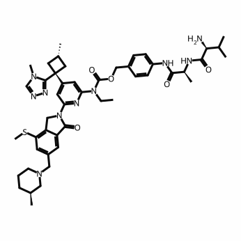 CCN(C(=O)OCc1ccc(NC(=O)[C@H](C)NC(=O)[C@@H](N)C(C)C)cc1)c1cc([C@]2(c3nncn3C)C[C@@H](C)C2)cc(N2Cc3c(SC)cc(CN4CCC[C@H](C)C4)cc3C2=O)n1